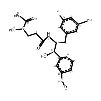 CCCCN(CCC(=O)N[C@@H](Cc1cc(F)cc(F)c1)[C@H](O)c1cc(OCC)ccn1)C(=O)CCC